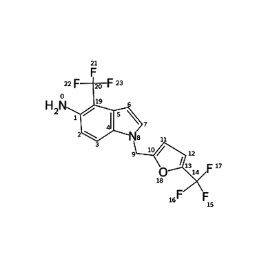 Nc1ccc2c(ccn2Cc2ccc(C(F)(F)F)o2)c1C(F)(F)F